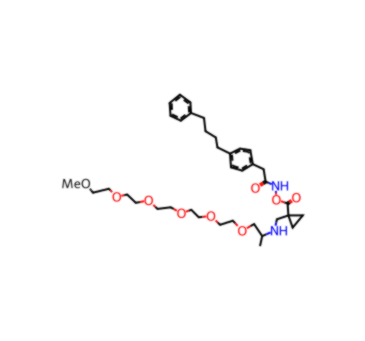 COCCOCCOCCOCCOCCOCC(C)NCC1(C(=O)ONC(=O)Cc2ccc(CCCCc3ccccc3)cc2)CC1